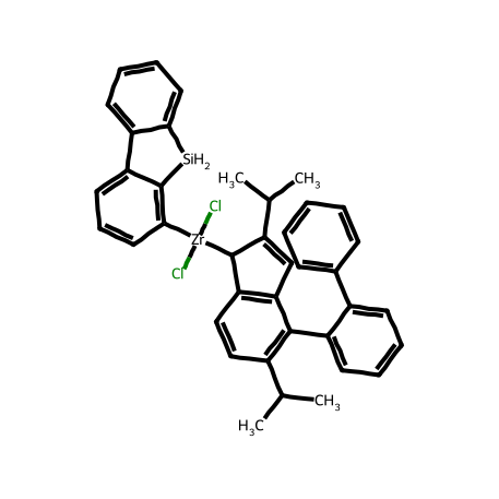 CC(C)C1=Cc2c(ccc(C(C)C)c2-c2ccccc2-c2ccccc2)[CH]1[Zr]([Cl])([Cl])[c]1cccc2c1[SiH2]c1ccccc1-2